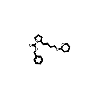 O=C(OCc1ccccc1)N1CCCC1C=CCCOC1CCCCO1